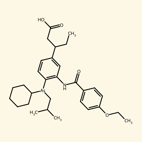 CCOc1ccc(C(=O)Nc2cc(C(CC)CC(=O)O)ccc2[As](CC(C)C)C2CCCCC2)cc1